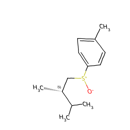 Cc1ccc([S+]([O-])C[C@@H](C)C(C)C)cc1